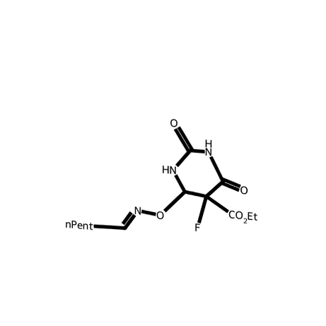 CCCCC/C=N/OC1NC(=O)NC(=O)C1(F)C(=O)OCC